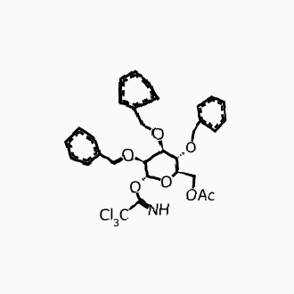 CC(=O)OC[C@H]1O[C@H](OC(=N)C(Cl)(Cl)Cl)[C@@H](OCc2ccccc2)[C@@H](OCc2ccccc2)[C@@H]1OCc1ccccc1